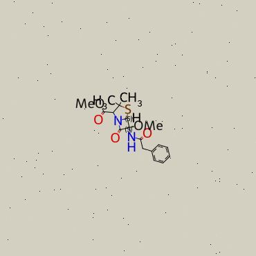 COC(=O)C1N2C(=O)[C@](NC(=O)Cc3ccccc3)(OC)[C@@H]2SC1(C)C